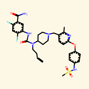 C=CCCN(C(=O)Nc1cc(C(N)=O)c(F)cc1F)C1CCN(Cc2ccc(Oc3ccc(NS(C)(=O)=O)cc3)nc2C)CC1